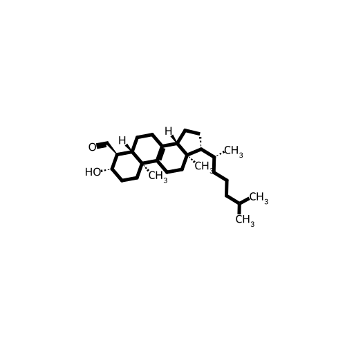 CC(C)CCC[C@@H](C)[C@H]1CC[C@H]2C3=C(CC[C@]12C)[C@@]1(C)CC[C@H](O)[C@@H](C=O)[C@@H]1CC3